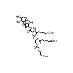 CCCCCCCCCCCCCCC(=O)N[C@H](CSC[C@@H](COC(=O)CCCCCCCCCCCCCC)OC(=O)CCCCCCCCCCCCCC)C(=O)Nc1cn([C@@]2(CO)OCC(O)C(O)C2O)nn1